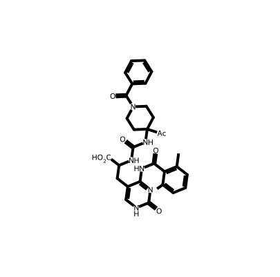 CC(=O)C1(NC(=O)NC(Cc2c[nH]c(=O)nc2NC(=O)c2c(C)cccc2C)C(=O)O)CCN(C(=O)c2ccccc2)CC1